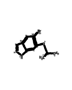 CC(C)Oc1cc2[nH]ncc2cc1Br